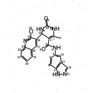 CC1=C(C(=O)Nc2ccc3[nH]ncc3c2)C(c2cc3ccccc3nc2Cl)NC(=O)N1